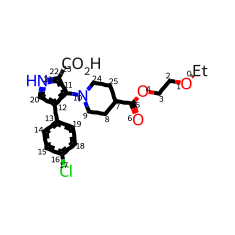 CCOCCOC(=O)C1CCN(c2c(-c3ccc(Cl)cc3)c[nH]c2C(=O)O)CC1